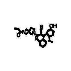 C=CC(=O)N1CC2(CCN(c3nc4ccccc4c(-c4cc(O)ccc4C(C)C)c3C#N)C2)C1